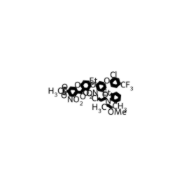 CCOc1cc(Oc2ccc(C(F)(F)F)cc2Cl)ccc1[N+](=O)[O-].CCc1cccc(C)c1N(C(=O)CCl)C(C)COC.CS(=O)(=O)c1ccc(C(=O)C2C(=O)CCCC2=O)c([N+](=O)[O-])c1